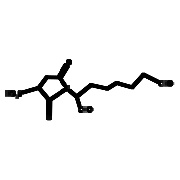 O=[C]CCCCCC([C]=O)N1C(=O)CC(S(=O)(=O)O)C1=O